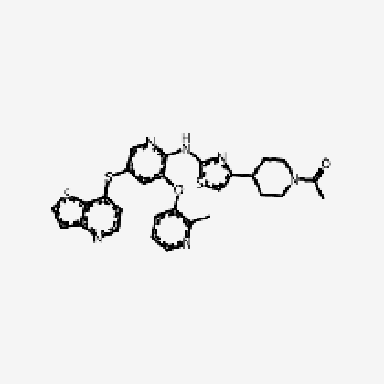 CC(=O)N1CCC(c2csc(Nc3ncc(Sc4ccnc5ccsc45)cc3Oc3cccnc3C)n2)CC1